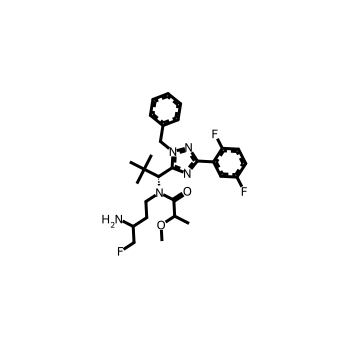 COC(C)C(=O)N(CCC(N)CF)[C@@H](c1nc(-c2cc(F)ccc2F)nn1Cc1ccccc1)C(C)(C)C